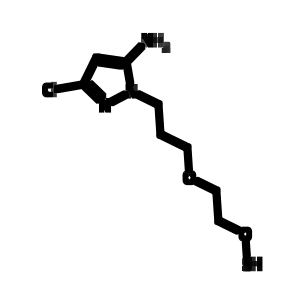 Nc1cc(Cl)nn1CCCOCCOS